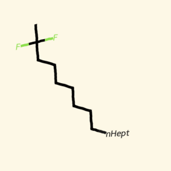 CCCCCCCCCCCCCCC(C)(F)F